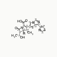 C[C@@H](O)[C@H]1C(=O)N2C(C(=O)O)=C(c3cn4cnc(-c5cscn5)c4s3)[C@H](C)[C@H]12